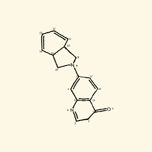 O=C1CC=Nc2cc(N3CC4C=CC=CC4C3)ccc21